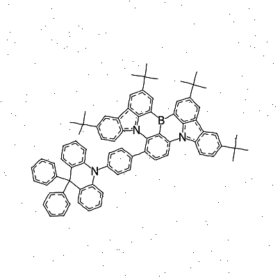 CC(C)(C)c1ccc2c(c1)c1cc(C(C)(C)C)cc3c1n2-c1ccc(-c2ccc(N4c5ccccc5C(c5ccccc5)(c5ccccc5)c5ccccc54)cc2)c2c1B3c1cc(C(C)(C)C)cc3c4cc(C(C)(C)C)ccc4n-2c13